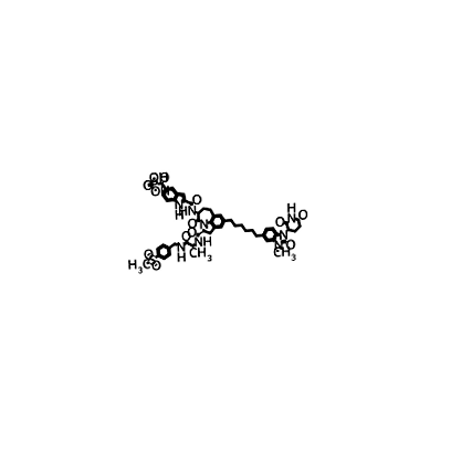 C[C@H](NC(=O)[C@@H]1Cc2cc(CCCCCCc3ccc4c(c3)n(C)c(=O)n4C3CCC(=O)NC3=O)cc3c2N1C(=O)[C@@H](NC(=O)c1cc2cc(C(=O)P(=O)(O)O)ccc2[nH]1)CC3)C(=O)NCc1ccc(S(C)(=O)=O)cc1